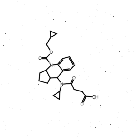 O=C(O)CCC(=O)N(C1CC1)C1c2ccccc2N(C(=O)OCC2CC2)C2CCCC21